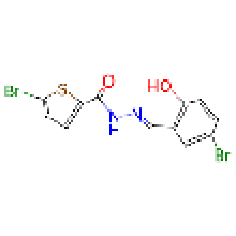 O=C(NN=Cc1cc(Br)ccc1O)c1ccc(Br)s1